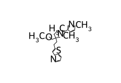 CCOCC1(CCc2cc3ncccc3s2)CCN(C(C)(C)c2ccc(C)nc2)C1